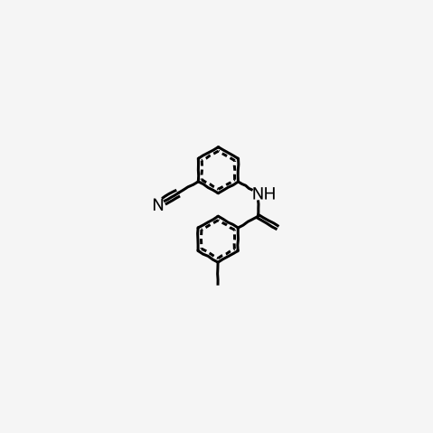 C=C(Nc1cccc(C#N)c1)c1cccc(C)c1